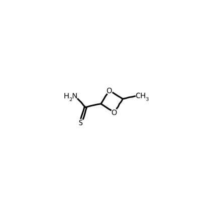 CC1OC(C(N)=S)O1